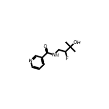 CC(C)(O)C(F)CNC(=O)c1cccnc1